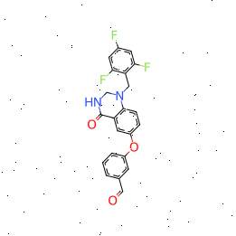 O=Cc1cccc(Oc2ccc3c(c2)C(=O)NCN3Cc2c(F)cc(F)cc2F)c1